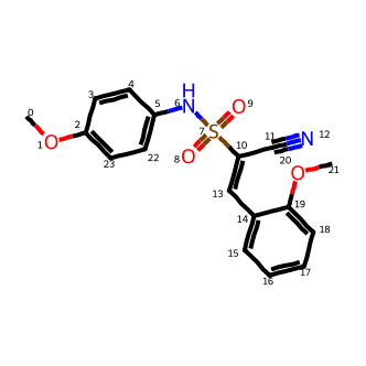 COc1ccc(NS(=O)(=O)C(C#N)=Cc2ccccc2OC)cc1